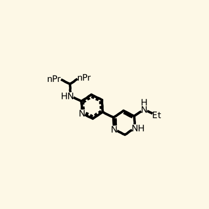 CCCC(CCC)Nc1ccc(C2=NCNC(NCC)=C2)cn1